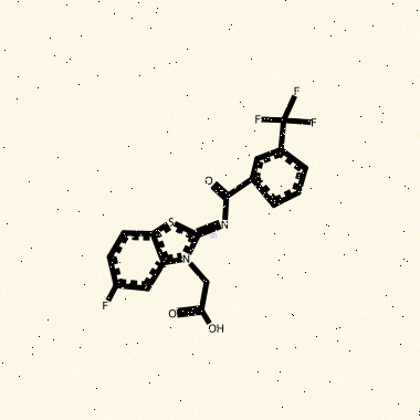 O=C(O)Cn1/c(=N/C(=O)c2cccc(C(F)(F)F)c2)sc2ccc(F)cc21